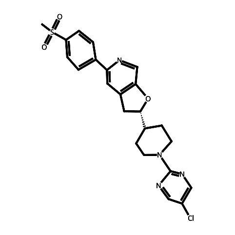 CS(=O)(=O)c1ccc(-c2cc3c(cn2)O[C@H](C2CCN(c4ncc(Cl)cn4)CC2)C3)cc1